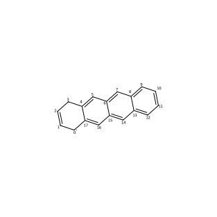 [CH]1C=CCc2cc3cc4ccccc4cc3cc21